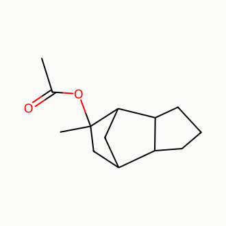 CC(=O)OC1(C)CC2CC1C1CCCC21